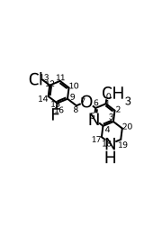 Cc1cc2c(nc1OCc1ccc(Cl)cc1F)CNCC2